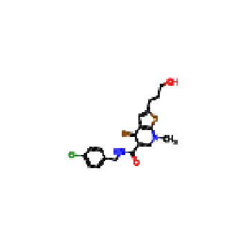 Cn1cc(C(=O)NCc2ccc(Cl)cc2)c(=S)c2cc(CCCO)sc21